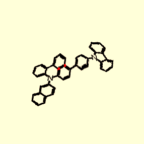 c1ccc(-c2ccccc2N(c2ccc(-c3ccc(-n4c5ccccc5c5ccccc54)cc3)cc2)c2ccc3ccccc3c2)cc1